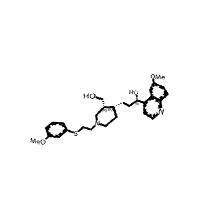 COc1cccc(SCCN2CC[C@@H](CC[C@@H](O)c3ccnc4ccc(OC)cc34)[C@@H](CO)C2)c1